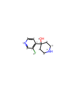 OC1(c2ccncc2F)CCNCC1